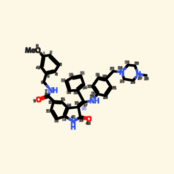 COc1cccc(CNC(=O)c2ccc3c(c2)/C(=C(/Nc2ccc(CN4CCN(C)CC4)cc2)c2ccccc2)C(=O)N3)c1